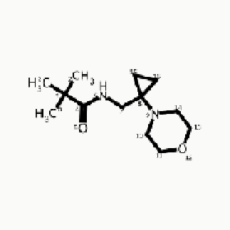 CC(C)(C)C(=O)NCC1(N2CCOCC2)CC1